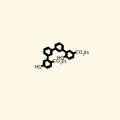 CCOC(=O)c1ccc(O)c(-c2cccc(-c3cccc(-c4cc(O)ccc4C(=O)OCC)c3)c2)c1